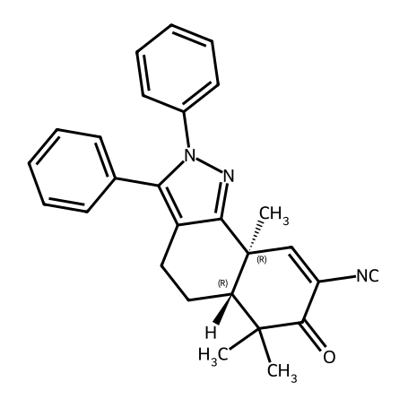 [C-]#[N+]C1=C[C@]2(C)c3nn(-c4ccccc4)c(-c4ccccc4)c3CC[C@H]2C(C)(C)C1=O